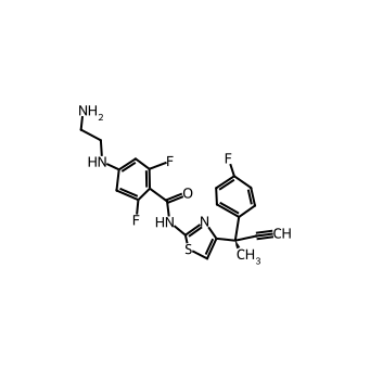 C#C[C@@](C)(c1ccc(F)cc1)c1csc(NC(=O)c2c(F)cc(NCCN)cc2F)n1